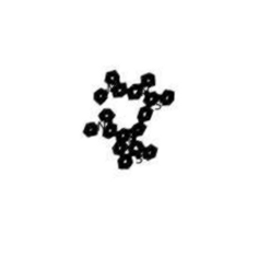 c1ccc(-c2ccccc2-c2cc(-n3c4ccc(-c5ccc(-c6cc(-n7c8ccccc8c8cc(-c9ccc%10c(c9)c9ccccc9n%10-c9ccccc9)ccc87)cc7c6sc6ccccc67)cc5)cc4c4cc(-c5ccc6c(c5)c5ccccc5n6-c5ccccc5)ccc43)cc3c2sc2ccccc23)cc1